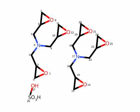 C1OC1CN(CC1CO1)CC1CO1.C1OC1CN(CC1CO1)CC1CO1.O=S(=O)(O)O